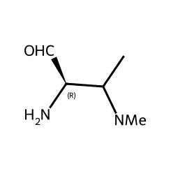 CNC(C)[C@@H](N)C=O